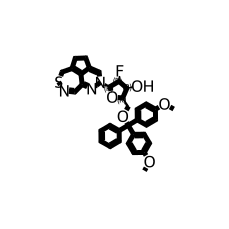 COc1ccc(C(OC[C@H]2O[C@@H](N3C=C4CCC5=C4C(=N3)C=NSC5)[C@H](F)[C@@H]2O)(c2ccccc2)c2ccc(OC)cc2)cc1